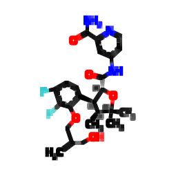 C=C(CO)COc1c([C@H]2[C@H](C(=O)Nc3ccnc(C(N)=O)c3)O[C@@](C)(C(F)(F)F)[C@H]2C)ccc(F)c1F